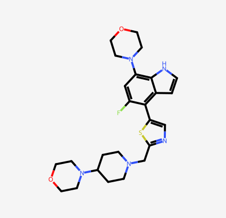 Fc1cc(N2CCOCC2)c2[nH]ccc2c1-c1cnc(CN2CCC(N3CCOCC3)CC2)s1